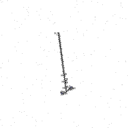 C/C(=N/O)C(C)(C)NCCC(CCNC(=O)CCCC(=O)NC(C=O)CCCCNC(=O)CCOCCOCCOCCOCCOCCOCCOCCOCCOCCOCCOCCOCCN)CCNC(C)(C)/C(C)=N\O